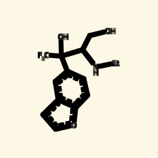 CCNC(CO)C(O)(c1ccc2occc2c1)C(F)(F)F